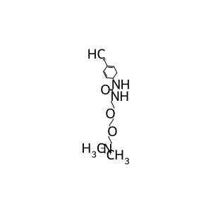 C#CC1=CCC(NC(=O)NCCOCCOCCN(C)C)C=C1